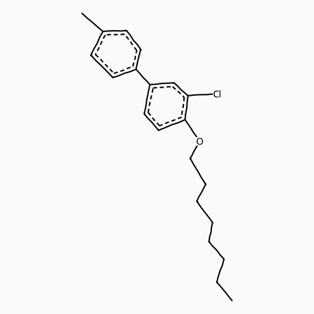 CCCCCCCCOc1ccc(-c2ccc(C)cc2)cc1Cl